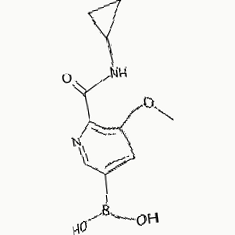 COc1cc(B(O)O)cnc1C(=O)NC1CC1